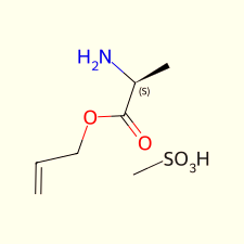 C=CCOC(=O)[C@H](C)N.CS(=O)(=O)O